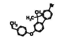 C=Cc1ccc(Oc2ccc3c(c2)C(C)(C)c2cc(Br)ccc2-3)cc1